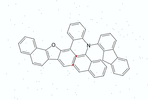 c1ccc2c(c1)Cc1c-2cccc1N(c1ccccc1-c1cccc2c1oc1c3ccccc3ccc21)c1cccc2ccccc12